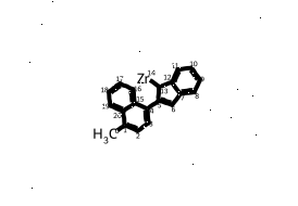 Cc1ccc(C2=Cc3ccccc3[CH]2[Zr])c2ccccc12